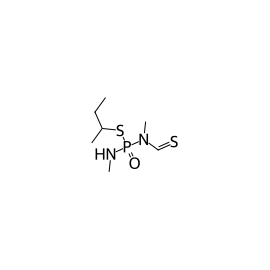 CCC(C)SP(=O)(NC)N(C)C=S